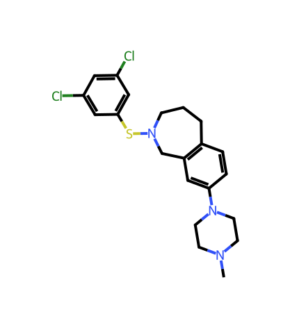 CN1CCN(c2ccc3c(c2)CN(Sc2cc(Cl)cc(Cl)c2)CCC3)CC1